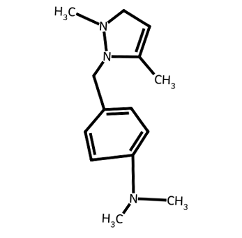 CC1=CCN(C)N1Cc1ccc(N(C)C)cc1